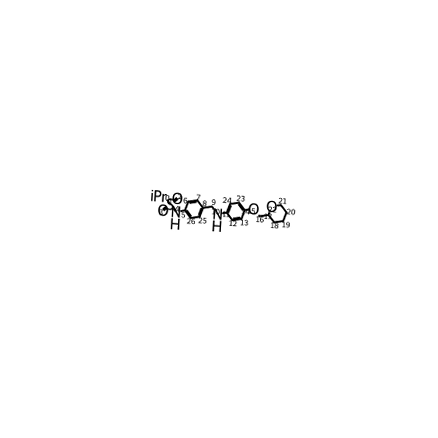 CC(C)S(=O)(=O)Nc1ccc(CNc2ccc(OCC3CCCCO3)cc2)cc1